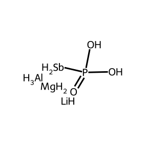 O=[P](O)(O)[SbH2].[AlH3].[LiH].[MgH2]